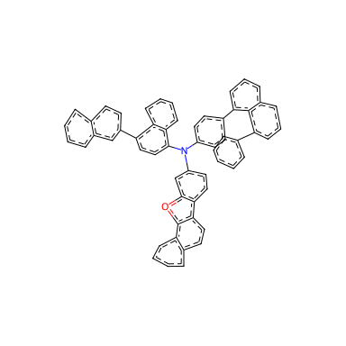 c1ccc(-c2cccc3cccc(-c4ccc(N(c5ccc6c(c5)oc5c7ccccc7ccc65)c5ccc(-c6ccc7ccccc7c6)c6ccccc56)cc4)c23)cc1